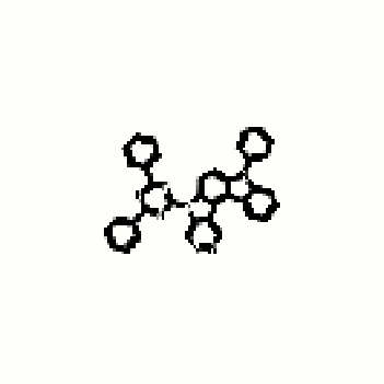 c1ccc(-c2nc(-c3ccccc3)nc(-n3c4cnncc4c4c5c6ccccc6n(-c6ccccc6)c5ccc43)n2)cc1